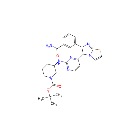 CC(C)(C)OC(=O)N1CCC[C@@H](Nc2nccc(C3C(c4cccc(C(N)=O)c4)N=C4SC=CN43)n2)C1